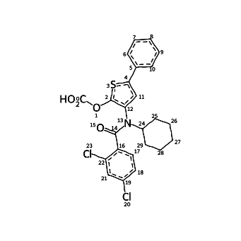 O=C(O)Oc1sc(-c2ccccc2)cc1N(C(=O)c1ccc(Cl)cc1Cl)C1CCCCC1